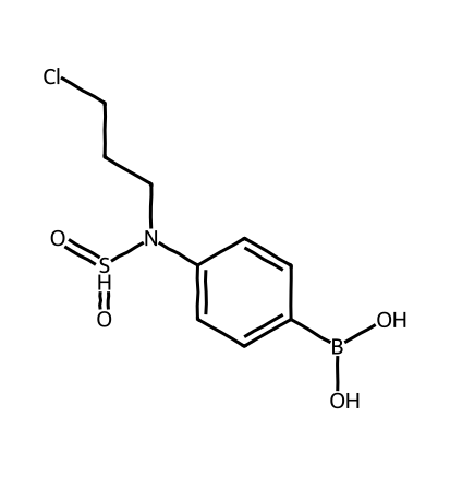 O=[SH](=O)N(CCCCl)c1ccc(B(O)O)cc1